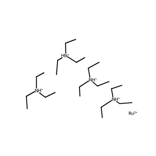 CC[NH+](CC)CC.CC[NH+](CC)CC.CC[NH+](CC)CC.CC[NH+](CC)CC.[Ru+2]